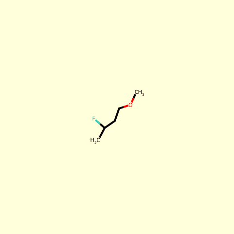 [CH2]C(F)CCOC